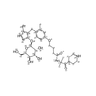 Cc1cc(OCCCC(=O)NC(C)(C)C(=O)N2CCNCC2)ccc1Cc1c(O[C@@H]2O[C@H](CO)[C@H](O)[C@H](O)[C@H]2O)n[nH]c1C(C)C